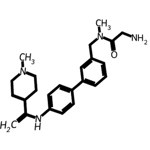 C=C(Nc1ccc(-c2cccc(CN(C)C(=O)CN)c2)cc1)C1CCN(C)CC1